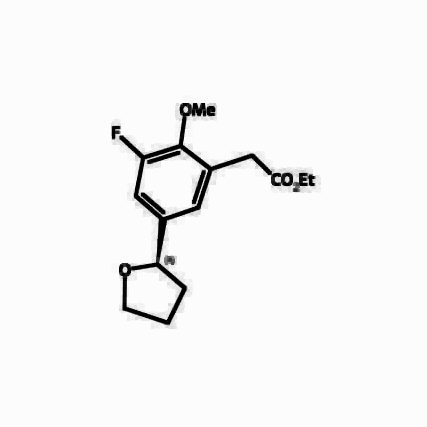 CCOC(=O)Cc1cc([C@H]2CCCO2)cc(F)c1OC